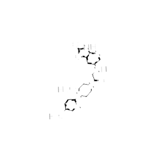 C[C@@H]1CN(C(=O)CNc2cnc3[nH]c(=O)oc3c2)CCN1c1ccc(C(F)(F)F)cn1